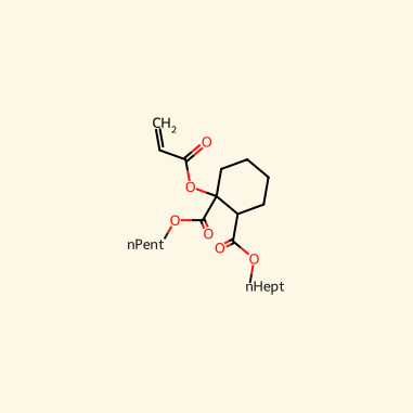 C=CC(=O)OC1(C(=O)OCCCCC)CCCCC1C(=O)OCCCCCCC